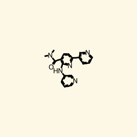 CN(C)C(=O)c1ccc(-c2cccnc2)nc1Nc1cccnc1